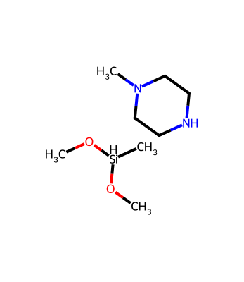 CN1CCNCC1.CO[SiH](C)OC